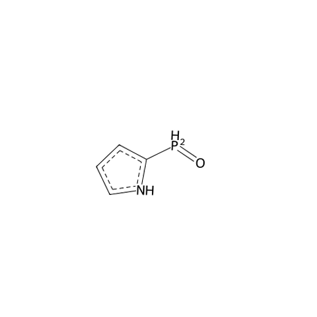 O=[PH2]c1ccc[nH]1